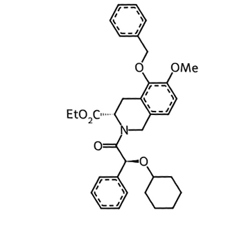 CCOC(=O)[C@@H]1Cc2c(ccc(OC)c2OCc2ccccc2)CN1C(=O)[C@@H](OC1CCCCC1)c1ccccc1